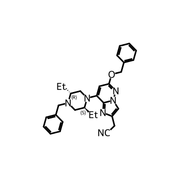 CC[C@@H]1CN(c2cc(OCc3ccccc3)nn3cc(CC#N)nc23)[C@@H](CC)CN1Cc1ccccc1